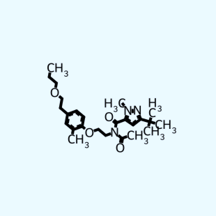 CCCOCCc1ccc(OCCN(C(C)=O)C(=O)c2cc(C(C)(C)C)nn2C)c(C)c1